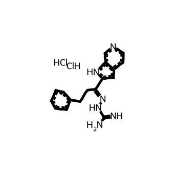 Cl.Cl.N=C(N)NN=C(CCc1ccccc1)c1cc2ccncc2[nH]1